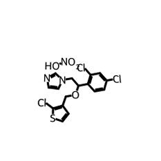 Clc1ccc(C(Cn2ccnc2)OCc2ccsc2Cl)c(Cl)c1.O=[N+]([O-])O